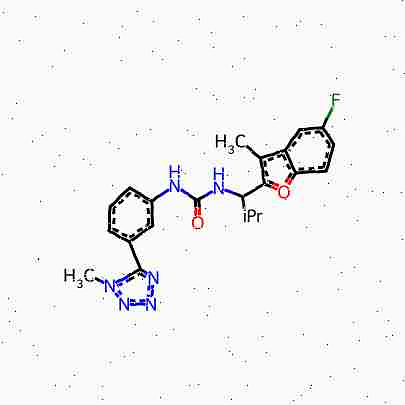 Cc1c(C(NC(=O)Nc2cccc(-c3nnnn3C)c2)C(C)C)oc2ccc(F)cc12